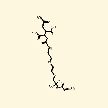 C=CC(=O)NC(C)(C)COCCOCCNC(=O)CC(C(=O)O)C(CC(N)=O)C(=O)O